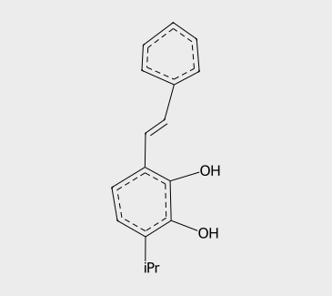 CC(C)c1ccc(/C=C/c2ccccc2)c(O)c1O